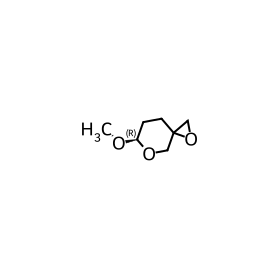 CO[C@H]1CCC2(CO1)CO2